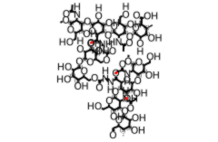 CO[C@@H]1OC(CO)[C@@H](O)[C@H](OC2OC(C(=O)NNC(=O)OCC3O[C@H](O[C@H]4OC(COC(=O)NNC(=O)C5O[C@@H](O[C@@H]6C(NC(C)=O)[C@H](OC)OC(CO)[C@H]6O)C(O)[C@@H](O)[C@@H]5O[C@@H]5OC(CO)[C@@H](O)[C@H](O[C@@H]6OC(C(=O)O)[C@@H](C)[C@H](O)C6O)C5NC(C)=O)[C@@H](O)[C@H](O)C4O)C(O)[C@@H](O)[C@@H]3O)[C@@H](O[C@@H]3OC(CO)[C@@H](O)[C@H](O[C@@H]4OC(C=O)[C@@H](C)[C@H](O)C4O)C3NC(C)=O)[C@H](O)[C@@H]2O)C1NC(C)=O